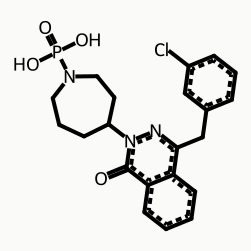 O=c1c2ccccc2c(Cc2cccc(Cl)c2)nn1C1CCCN(P(=O)(O)O)CC1